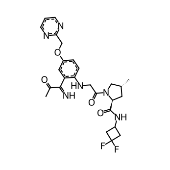 CC(=O)C(=N)c1cc(OCc2ncccn2)ccc1NCC(=O)N1C[C@H](C)C[C@H]1C(=O)NC1CC(F)(F)C1